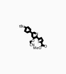 COC(=O)c1ccc(-c2ncc(-c3ccc(C(C)(C)C)cc3)cc2OCC#N)s1